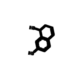 O[C]1CC=Cc2ccc(O)cc21